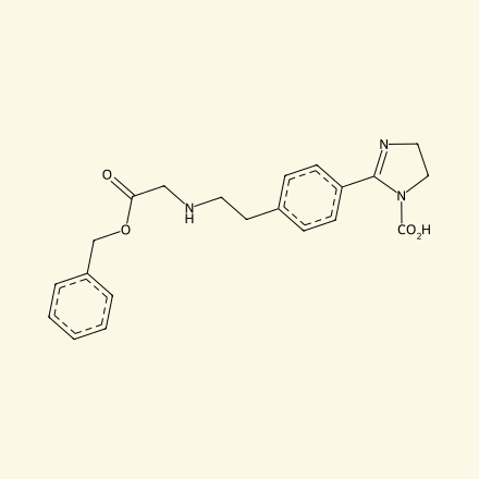 O=C(CNCCc1ccc(C2=NCCN2C(=O)O)cc1)OCc1ccccc1